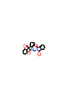 O=C1c2ccccc2C(=O)N1CN1C(=O)C2(COc3ccccc32)c2ccccc21